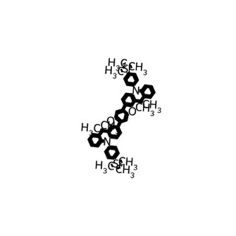 CC1(C)c2ccccc2N(c2ccc([Si](C)(C)C)cc2)c2ccc3c(oc4cc5c(cc43)oc3c4c(ccc35)N(c3ccc([Si](C)(C)C)cc3)c3ccccc3C4(C)C)c21